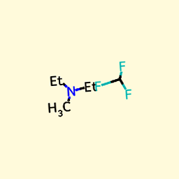 CCN(C)CC.FC(F)F